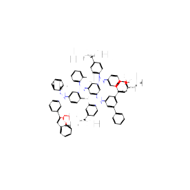 Cc1cccc(C)c1N1c2cc(N(c3ccccc3)c3cccc(-c4cc5ccccc5o4)c3)ccc2B2c3cc(C(C)(C)C)ccc3N(c3cc(-c4ccccc4)cc(-c4ccccc4)c3)c3cc(N(c4ccc(C(C)(C)C)cc4)c4ccc(C(C)(C)C)cc4)cc1c32